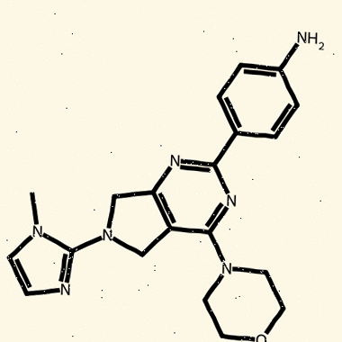 Cn1ccnc1N1Cc2nc(-c3ccc(N)cc3)nc(N3CCOCC3)c2C1